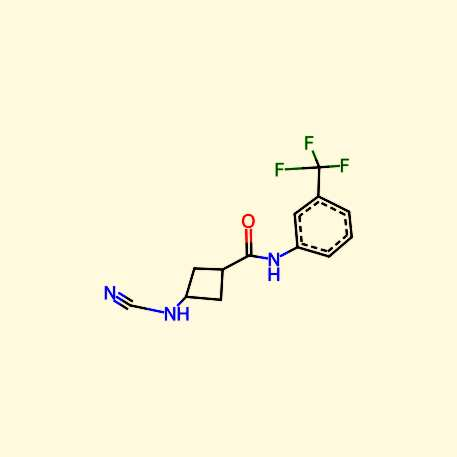 N#CNC1CC(C(=O)Nc2cccc(C(F)(F)F)c2)C1